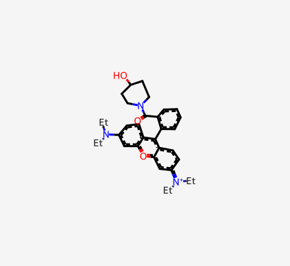 CCN(CC)c1ccc2c(-c3ccccc3C(=O)N3CCC(O)CC3)c3ccc(=[N+](CC)CC)cc-3oc2c1